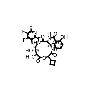 C[C@H]1NC(=O)C(C2CCC2)OC(=O)[C@H](C)[C@H](O)[C@H](Cc2c(F)nc(F)c(F)c2F)NC(=O)[C@H]1NC(=O)c1ccccc1O